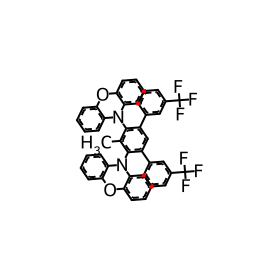 Cc1c(N2c3ccccc3Oc3ccccc32)c(-c2cccc(C(F)(F)F)c2)cc(-c2cccc(C(F)(F)F)c2)c1N1c2ccccc2Oc2ccccc21